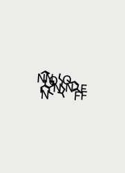 CCC(Oc1ccc(C(F)(F)F)cn1)C1CC(C)CN1C(=O)c1c(-c2ncccn2)ccnc1C